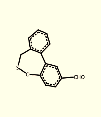 O=Cc1ccc2c(c1)-c1ccccc1CSO2